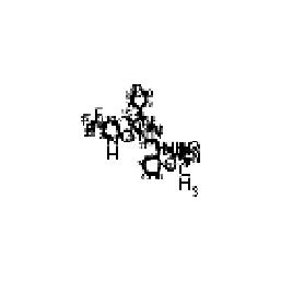 Cc1nonc1C(=O)N[C@H](c1cn2nc(C[C@H]3C[C@@H](C(F)(F)F)CNC3=O)c(C3CCOCC3)nc2n1)C1CCCCC1